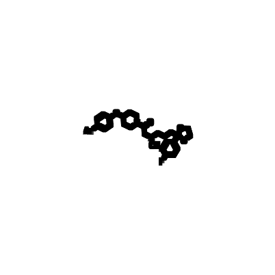 CC(=O)c1ccc(OC2CCN(C(=O)CN(C)CCCC3(c4ccc(F)cc4)OCCO3)CC2)cc1